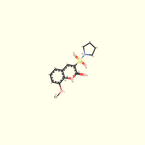 CCOc1cccc2cc(S(=O)(=O)N3CCCC3)c(=O)oc12